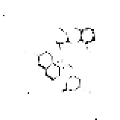 CCC(Oc1c(Br)cccc1Br)C(=O)O[C@H]1C[C@H](O)C=C2C=C[C@H](C)[C@H](CC[C@@H]3C[C@@H](O)CC(=O)O3)[C@H]21